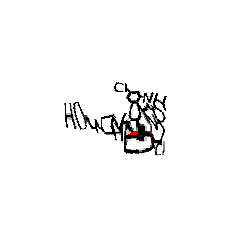 O=C(NC1CCCCN1[C@]1(Cc2cccc(Cl)c2)C(=O)Nc2cc(Cl)ccc21)N1CCN(CCO)CC1